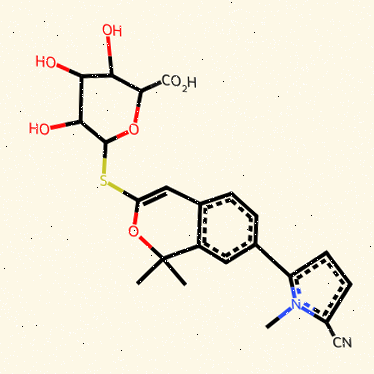 Cn1c(C#N)ccc1-c1ccc2c(c1)C(C)(C)OC(SC1OC(C(=O)O)C(O)C(O)C1O)=C2